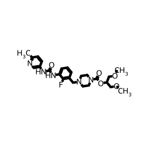 COCC(COC)OC(=O)N1CCN(Cc2cccc(NC(=O)Nc3ccc(C)nc3)c2F)CC1